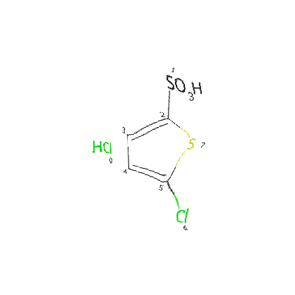 Cl.O=S(=O)(O)c1ccc(Cl)s1